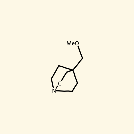 COCC12CCN(CC1)CC2